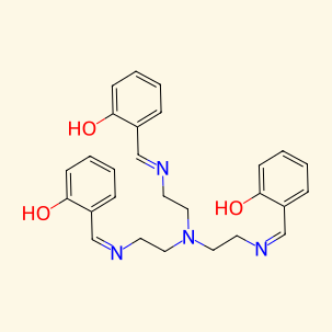 Oc1ccccc1/C=N\CCN(CC/N=C\c1ccccc1O)CC/N=C/c1ccccc1O